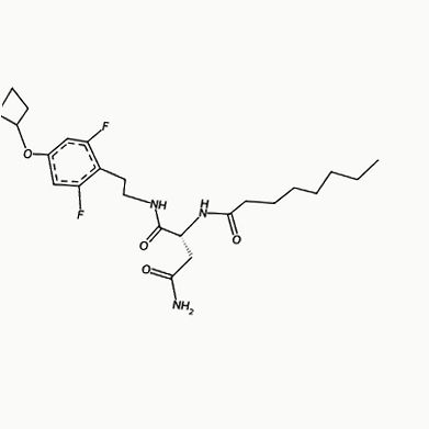 CCCCCCCC(=O)N[C@H](CC(N)=O)C(=O)NCCc1c(F)cc(OC2CCC2)cc1F